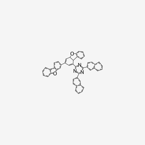 C1=C(c2ccc3c(c2)oc2ccccc23)C=C(c2nc(-c3ccc4ccccc4c3)nc(-c3ccc4ccccc4c3)n2)C2c3ccccc3OC12